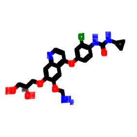 NCOc1cc2c(Oc3ccc(NC(=O)NC4CC4)c(Cl)c3)ccnc2cc1OC[C@H](O)CO